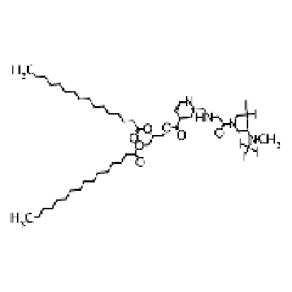 CCCCCCCCCCCCCCCC(=O)OCC(COC(=O)c1ccnc(CNCC(=O)N(CCN(C)C(I)(I)I)CC(I)(I)I)c1)OC(=O)CCCCCCCCCCCCCCC